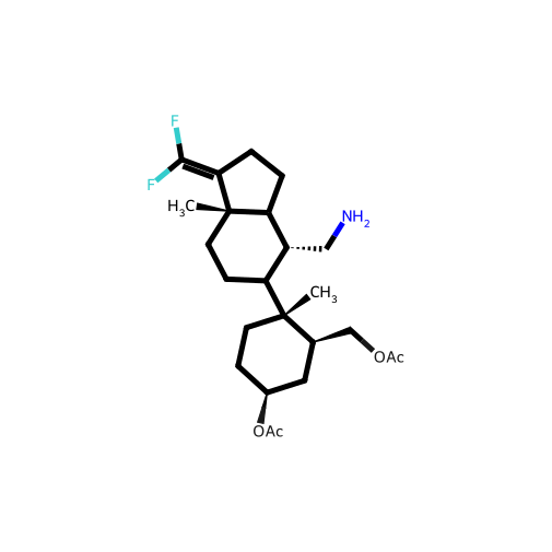 CC(=O)OC[C@H]1C[C@@H](OC(C)=O)CC[C@]1(C)C1CC[C@]2(C)C(=C(F)F)CCC2[C@@H]1CN